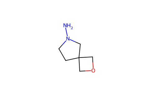 NN1CCC2(COC2)C1